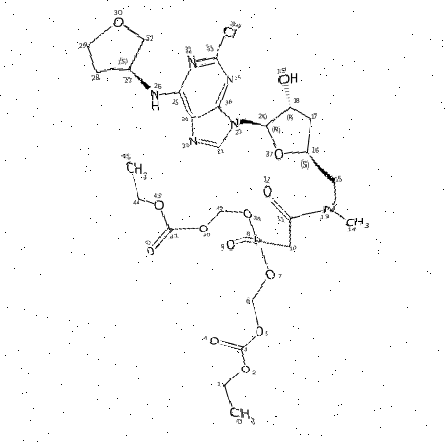 CCOC(=O)OCOP(=O)(CC(=O)N(C)C[C@@H]1C[C@@H](O)[C@H](n2cnc3c(N[C@H]4CCOC4)nc(Cl)nc32)O1)OCOC(=O)OCC